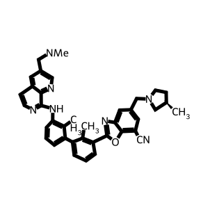 CNCc1cnc2c(Nc3cccc(-c4cccc(-c5nc6cc(CN7CC[C@@H](C)C7)cc(C#N)c6o5)c4C)c3C)nccc2c1